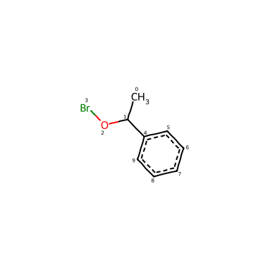 CC(OBr)c1ccccc1